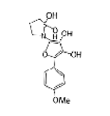 COc1ccc(-c2oc(N3CCCS3(O)O)c(O)c2O)cc1